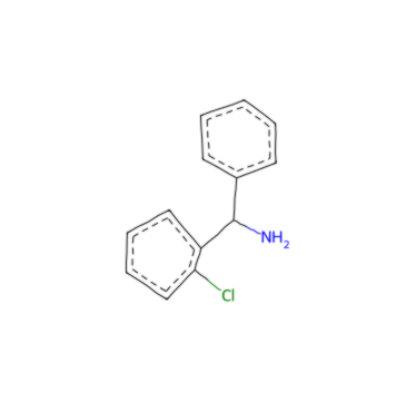 NC(c1ccccc1)c1ccccc1Cl